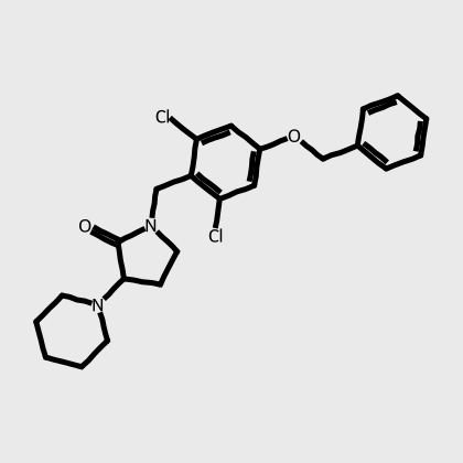 O=C1C(N2CCCCC2)CCN1Cc1c(Cl)cc(OCc2ccccc2)cc1Cl